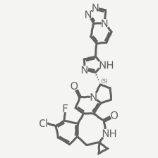 O=C1NC2(CC2)Cc2ccc(Cl)c(F)c2-c2cc(=O)n3c(c21)CC[C@H]3c1ncc(-c2ccn3cnnc3c2)[nH]1